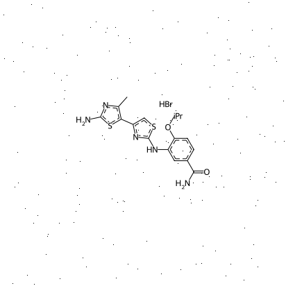 Br.Cc1nc(N)sc1-c1csc(Nc2cc(C(N)=O)ccc2OC(C)C)n1